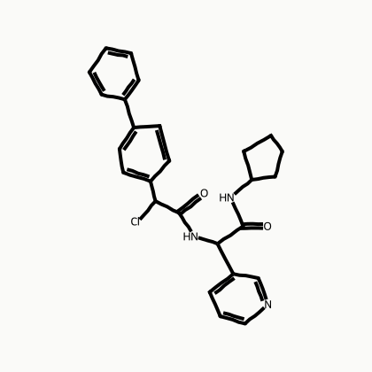 O=C(NC(C(=O)NC1CCCC1)c1cccnc1)C(Cl)c1ccc(-c2ccccc2)cc1